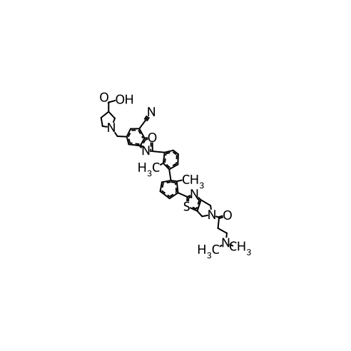 Cc1c(-c2nc3cc(CN4CCC(C(=O)O)C4)cc(C#N)c3o2)cccc1-c1cccc(-c2nc3c(s2)CN(C(=O)CCN(C)C)C3)c1C